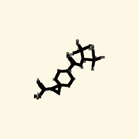 NC(=O)C1CC12CCN(C(=O)OC(C(F)(F)F)C(F)(F)F)CC2